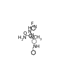 CC1(n2cc(C(N)=O)c(Nc3ccnc(F)c3)n2)CCC(NCc2ccccc2)CC1